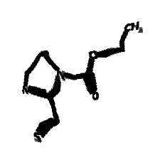 CCOC(=O)N1CCN=C1C=S